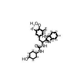 COc1c(F)cc(CC(NC(=O)NC2CCC(O)CC2)c2nc3ccccc3[nH]2)cc1F